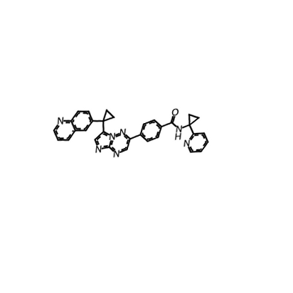 O=C(NC1(c2ccccn2)CC1)c1ccc(-c2cnc3ncc(C4(c5ccc6ncccc6c5)CC4)n3n2)cc1